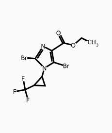 CCOC(=O)c1nc(Br)n(C2CC2C(F)(F)F)c1Br